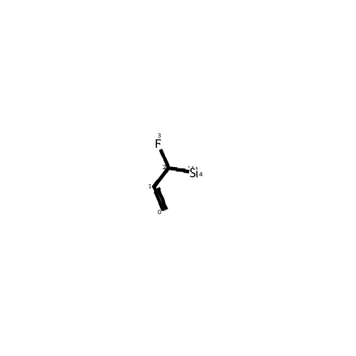 C=CC(F)[Si]